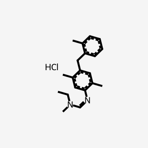 CCN(C)/C=N\c1cc(C)c(Cc2ccccc2C)cc1C.Cl